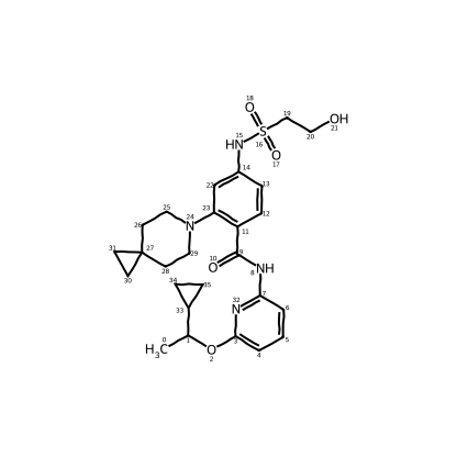 CC(Oc1cccc(NC(=O)c2ccc(NS(=O)(=O)CCO)cc2N2CCC3(CC2)CC3)n1)C1CC1